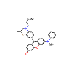 CCCN(c1ccccc1)c1ccc2c(-c3ccc4c(c3)SC(C)CN4CCNC)c3ccc(=O)cc-3oc2c1